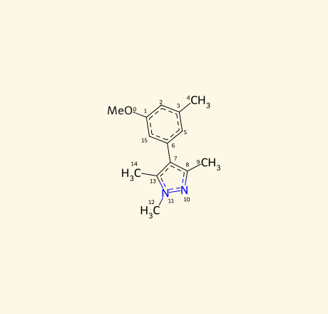 COc1cc(C)cc(-c2c(C)nn(C)c2C)c1